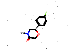 CCN1C[C@@H](c2ccc(F)cc2)OCC1=O